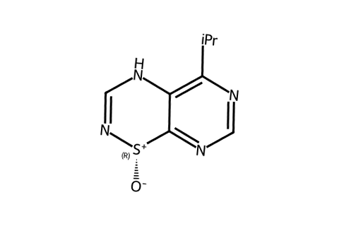 CC(C)c1ncnc2c1NC=N[S@@+]2[O-]